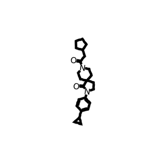 O=C(CC1CCCC1)N1CCC2(CC1)CCN(c1ccc(C3CC3)cc1)C2=O